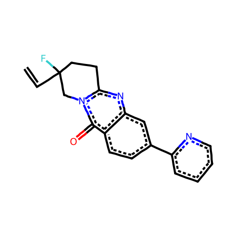 C=CC1(F)CCc2nc3cc(-c4ccccn4)ccc3c(=O)n2C1